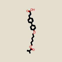 C=C(C)C(=O)OCCCCCCOc1ccc(-c2ccc(/C=C/C(=O)O)cc2)cc1